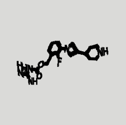 N=C(N)NC(=O)OCc1cccc(N2CC(C3CCNCC3)C2)c1F